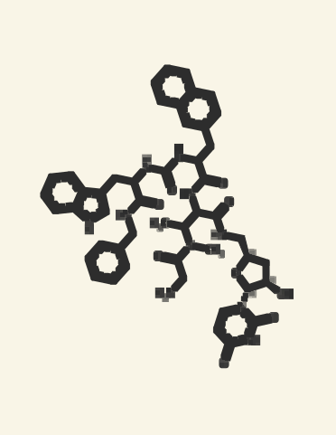 CC(C(NC(=O)C(Cc1ccc2ccccc2c1)NC(=O)NC(Cc1c[nH]c2ccccc12)C(=O)NCc1ccccc1)C(=O)NC[C@H]1C[C@@H](O)[C@H](n2ccc(=O)[nH]c2=O)O1)N(C)C(=O)CN